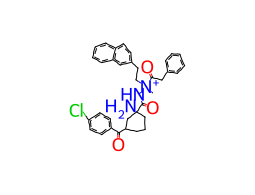 C[N+](CCc1ccc2ccccc2c1)(NC(=O)C1(N)CCCC(C(=O)c2ccc(Cl)cc2)C1)C(=O)Cc1ccccc1